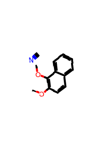 C#N.COc1ccc2ccccc2c1OC